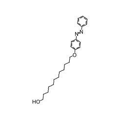 OCCCCCCCCCCCCOc1ccc(N=Nc2ccccc2)cc1